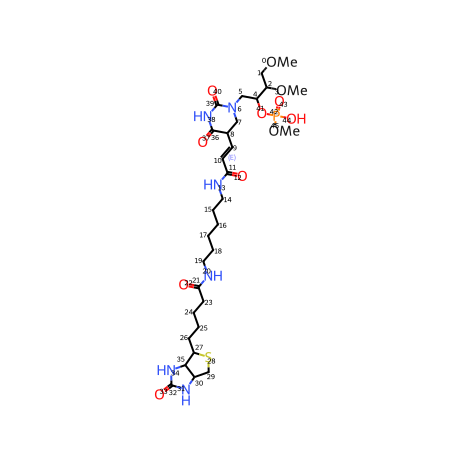 COCC(OC)C(CN1CC(/C=C/C(=O)NCCCCCCNC(=O)CCCCC2SCC3NC(=O)NC32)C(=O)NC1=O)OP(=O)(O)OC